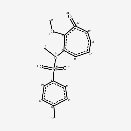 COc1c(N(C)S(=O)(=O)c2ccc(C)cc2)ccccc1=O